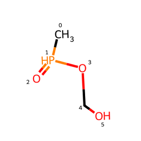 C[PH](=O)OCO